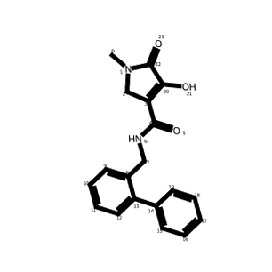 CN1CC(C(=O)NCc2ccccc2-c2ccccc2)=C(O)C1=O